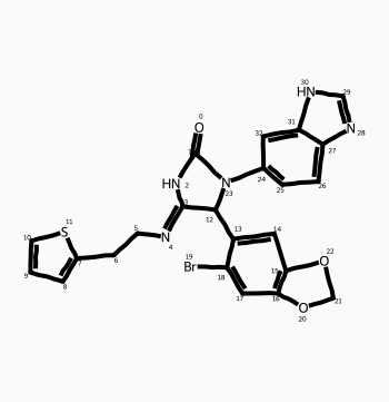 O=C1NC(=NCCc2cccs2)C(c2cc3c(cc2Br)OCO3)N1c1ccc2nc[nH]c2c1